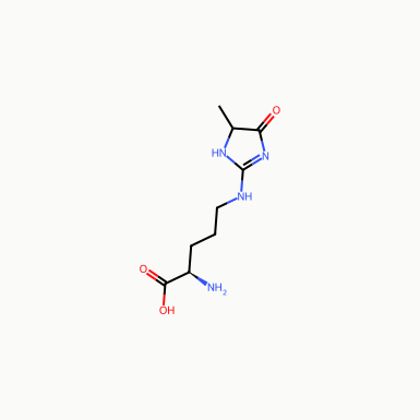 CC1NC(NCCC[C@@H](N)C(=O)O)=NC1=O